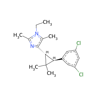 CCn1c(C)nc([C@@H]2[C@@H](c3cc(Cl)cc(Cl)c3)C2(C)C)c1C